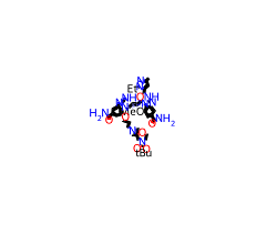 CCn1nc(C)cc1C(=O)Nc1nc2cc(C(N)=O)cc(OC)c2n1C/C=C/Cn1c(N)nc2cc(C(N)=O)cc(OCCCN3CC4(C3)CN(C(=O)OC(C)(C)C)CCO4)c21